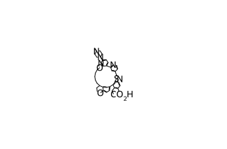 Cc1cc2nc3sc2c(c1CC(=O)O)-c1ccc2c(c1)C(CCCCCOc1nc(N4CCN(C)CC4)ccc1-c1cc-3ccn1)CCO2